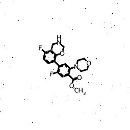 COC(=O)c1cc(F)c(-c2ccc(F)c3c2OCNC3)cc1N1CCOCC1